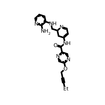 CCC#CCOc1cnc(C(=O)NC2=CC=NC(CNc3cccnc3N)C2)cn1